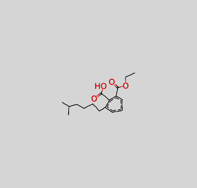 CCOC(=O)c1cccc(CCCCC(C)C)c1C(=O)O